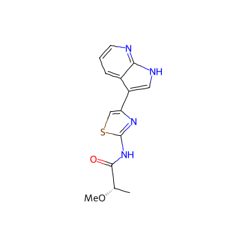 CO[C@@H](C)C(=O)Nc1nc(-c2c[nH]c3ncccc23)cs1